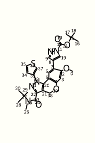 COc1cc2c(cc1-c1cnn(C(=O)OC(C)(C)C)c1)-c1c(c(C(=O)N(C)C(C)(C)C)nn1-c1ccsc1)CO2